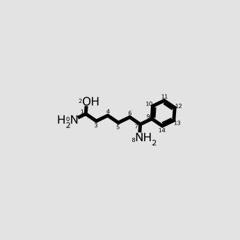 NC(O)CCCCC(N)c1ccccc1